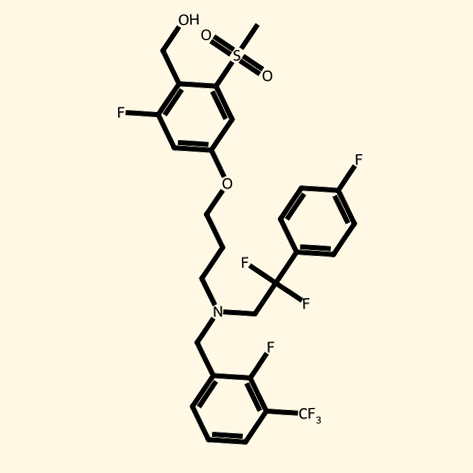 CS(=O)(=O)c1cc(OCCCN(Cc2cccc(C(F)(F)F)c2F)CC(F)(F)c2ccc(F)cc2)cc(F)c1CO